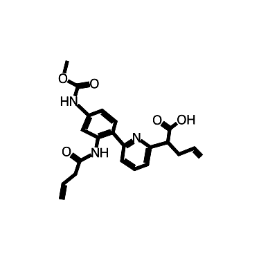 C=CCC(=O)Nc1cc(NC(=O)OC)ccc1-c1cccc(C(CC=C)C(=O)O)n1